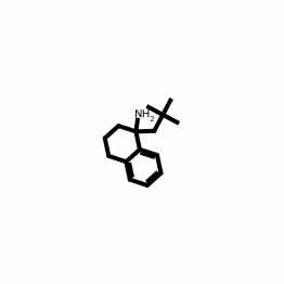 CC(C)(C)CC1(N)CCCc2ccccc21